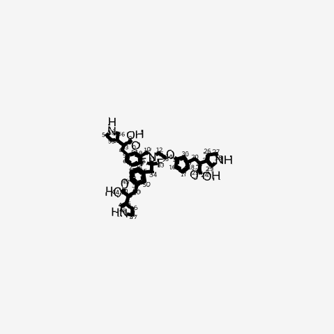 O=C(O)C(Cc1cccc(CN(CCOc2cccc(CC(C(=O)O)C3CCNC3)c2)C(F)(F)Cc2cccc(CC(C(=O)O)C3CCNC3)c2)c1)C1CCNC1